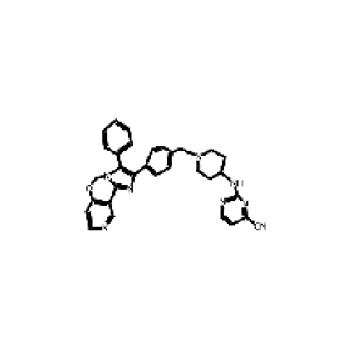 N#Cc1ccnc(NC2CCN(Cc3ccc(-c4nc5n(c4-c4ccccc4)COc4ccncc4-5)cc3)CC2)n1